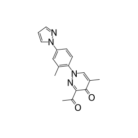 CC(=O)c1nn(-c2ccc(-n3cccn3)cc2C)cc(C)c1=O